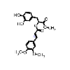 COC(=O)C(Cc1ccc(O)c(O)c1)OC(=O)/C=C/c1ccc(OC)c(OC)c1